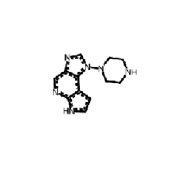 c1cc2c(ncc3ncn(N4CCNCC4)c32)[nH]1